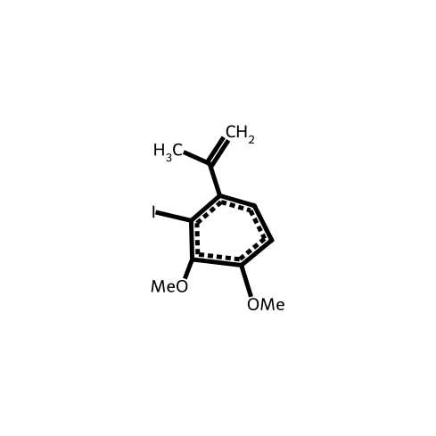 C=C(C)c1ccc(OC)c(OC)c1I